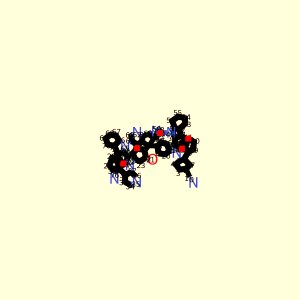 N#Cc1ccc2c(c1)c1ccccc1n2-c1ccc2c(c1)Oc1cc(-n3c4ccccc4c4ccncc43)ccc1C21c2cc(-n3c4ccccc4c4ccccc43)cnc2-c2ncc(-n3c4ccccc4c4cc(C#N)ccc43)cc21